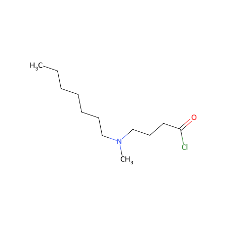 CCCCCCCN(C)CCCC(=O)Cl